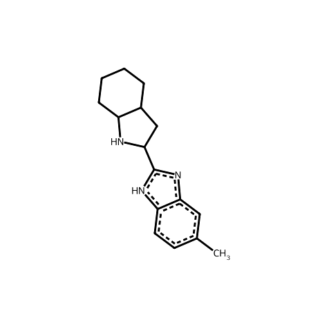 Cc1ccc2[nH]c(C3CC4CCCCC4N3)nc2c1